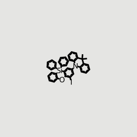 CC1(C)c2ccccc2N(c2cc(I)c3c(c2)[Si](c2ccccc2)(c2ccccc2)c2ccccc2O3)c2ccccc21